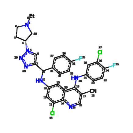 CCN1CC[C@@H](n2cc(C(Nc3cc(Cl)c4ncc(C#N)c(Nc5ccc(F)c(Cl)c5)c4c3)c3ccc(F)cc3)nn2)C1